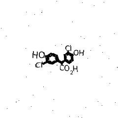 O=C(O)C(c1ccc(O)c(Cl)c1)c1ccc(O)c(Cl)c1